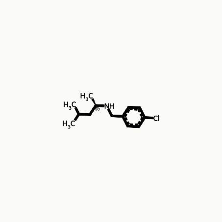 CC(C)C[C@@H](C)NCc1ccc(Cl)cc1